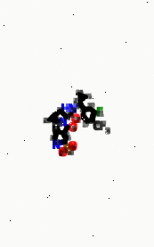 CS(=O)(=O)c1cc(C(=O)N2[C@@H](C(=O)N[C@@H](c3ccc(C(F)(F)F)c(F)c3)C3CC3)CC3C[C@H]32)ccn1